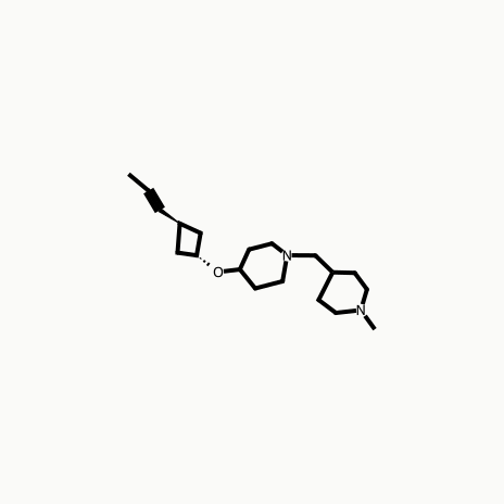 CC#C[C@H]1C[C@H](OC2CCN(CC3CCN(C)CC3)CC2)C1